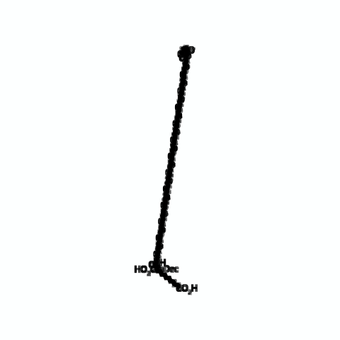 CCCCCCCCCCCC(CCCCCCCCCCC(=O)O)(C(=O)O)C(=O)NCCOCCOCCOCCOCCOCCOCCOCCOCCOCCOCCOCCOCCOCCOCCOCCOCCOCCOCCOCCOCCOCCOCCOCCOCCC(=O)ON1C(=O)CCC1=O